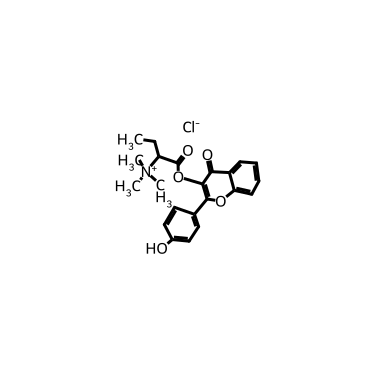 CCC(C(=O)Oc1c(-c2ccc(O)cc2)oc2ccccc2c1=O)[N+](C)(C)C.[Cl-]